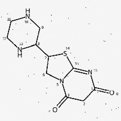 O=C1CC(=O)N2CC(C3CNCCN3)SC2=N1